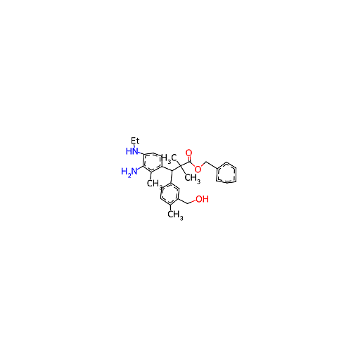 CCNc1ccc(C(c2ccc(C)c(CO)c2)C(C)(C)C(=O)OCc2ccccc2)c(C)c1N